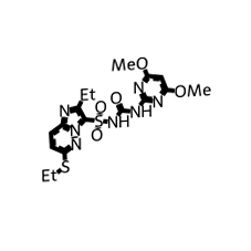 CCSc1ccc2nc(CC)c(S(=O)(=O)NC(=O)Nc3nc(OC)cc(OC)n3)n2n1